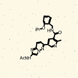 CC(=O)Nc1cn2nc(-c3cnc(C)c(C(=O)NCc4ccccc4OC(C)C)c3)ccc2n1